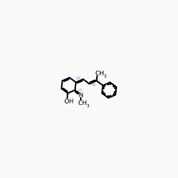 C\N=C1/C(O)=CC=C/C1=C/C=C(\C)c1ccccc1